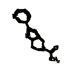 CC(=O)N1CCc2nc(-c3cccnc3)sc2C1